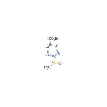 CCOC(=O)c1cnc([S+](C)[O-])nc1